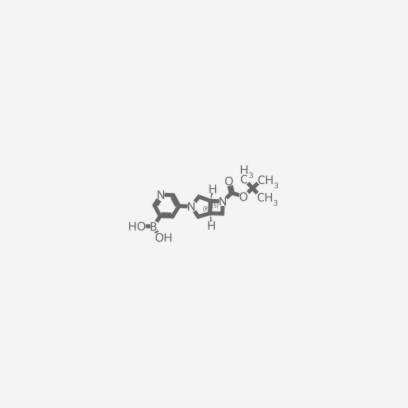 CC(C)(C)OC(=O)N1C[C@H]2CN(c3cncc(B(O)O)c3)C[C@H]21